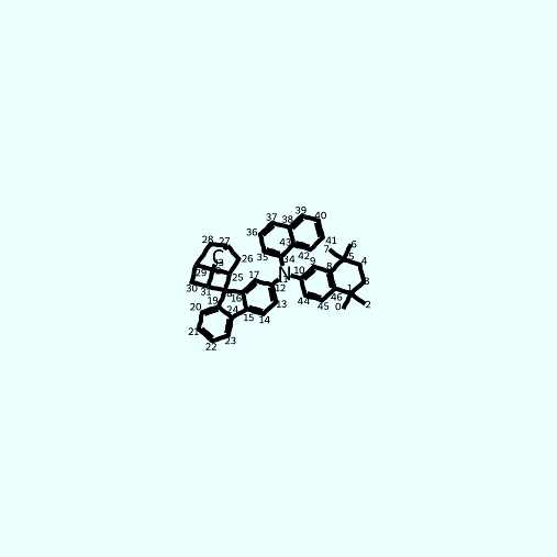 CC1(C)CCC(C)(C)c2cc(N(c3ccc4c(c3)C3(c5ccccc5-4)C4CC5CC6CC3C64C5)c3cccc4ccccc34)ccc21